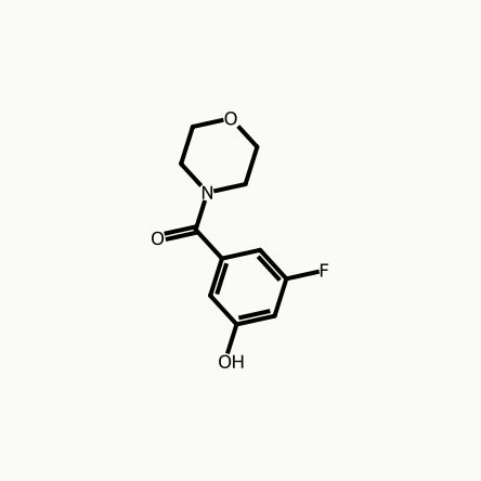 O=C(c1cc(O)cc(F)c1)N1CCOCC1